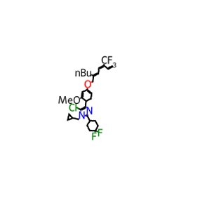 C=C/C(=C\C=C(/CCCC)COC1=CCC(c2nc(C3CCC(F)(F)CC3)n(CC3CC3)c2Cl)C(OC)=C1)C(F)(F)F